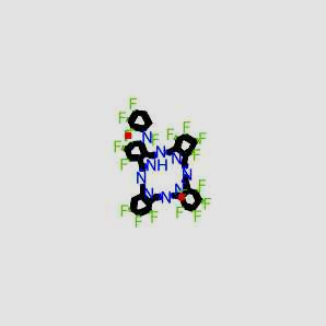 Fc1ccc(N(F)c2c(F)c(F)c(F)c3c4nc5nc(nc6c7c(F)c(F)c(F)c(F)c7c(nc7nc(nc([nH]4)c23)-c2c(F)c(F)c(F)c(F)c2-7)n6F)-c2c-5cc(F)c(F)c2F)c(F)c1F